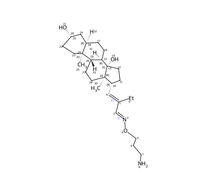 CCC(/C=N/OCCCN)=C\[C@H]1CC[C@]2(O)[C@@H]3CC[C@@H]4C[C@@H](O)CC[C@]4(C)[C@H]3CC[C@]12C